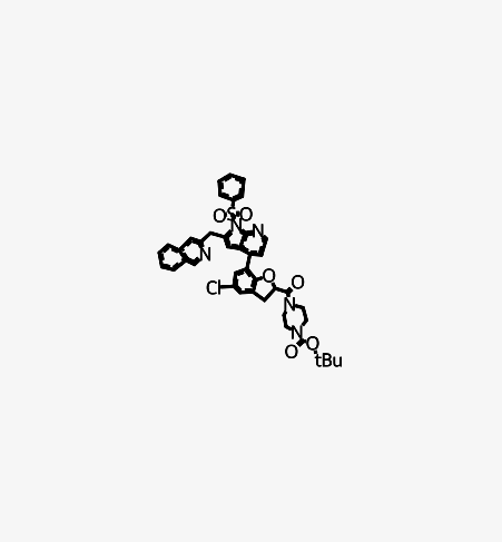 CC(C)(C)OC(=O)N1CCN(C(=O)C2Cc3cc(Cl)cc(-c4ccnc5c4cc(Cc4cc6ccccc6cn4)n5S(=O)(=O)c4ccccc4)c3O2)CC1